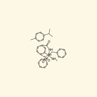 Cc1ccc(C(C)C)cc1.NC(Cc1ccccc1)(c1ccccc1)c1cc2ccc1[S](=O)(=O)[Ru][NH]C2=O